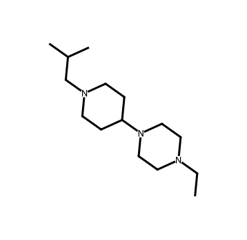 CCN1CCN(C2CCN(CC(C)C)CC2)CC1